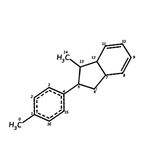 Cc1ccc(C2[C]C3C=CC=CC3C2C)cc1